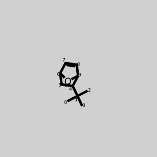 CC(C)(C)C1CC2C=CC1O2